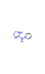 c1ccn(NC2=NCCN2)c1